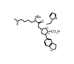 CCCCN(CCCCN(C)C)C(=O)CN1CC(c2ccc3c(c2)CCO3)[C@H](C(=O)O)[C@H]1CCn1cccn1